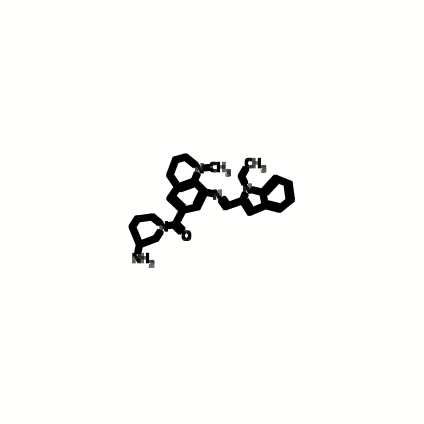 CCn1c(/C=N/c2cc(C(=O)N3CCCC(N)C3)cc3c2N(C)CCC3)cc2ccccc21